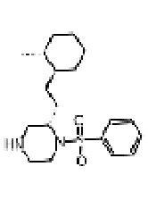 C[C@@H]1CCCC[C@H]1CC[C@H]1CNCCN1S(=O)(=O)c1ccccc1